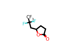 O=C1CCC(CC(F)(F)C(F)(F)F)O1